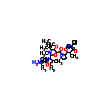 CCC(C)C(C(CC(=O)N1CCCC1C(OC)C(C)C(=O)NC12CC(C1)C2)OC)N(C)C(=O)C(NC(=O)C(C)(C)N)C(C)C